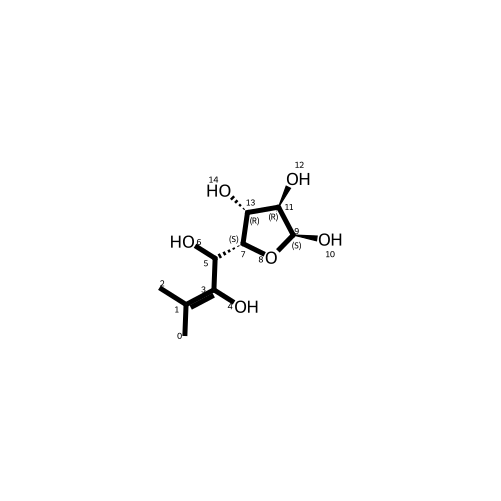 CC(C)=C(O)C(O)[C@H]1O[C@H](O)[C@H](O)[C@H]1O